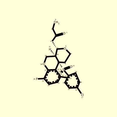 CCC(=O)C[C@@H]1OCC[C@@]2(S(=O)(=O)c3ccc(Cl)cc3)c3c(F)ccc(F)c3OC[C@@H]12